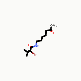 COC(=O)CCCCCNC(=O)C(Br)=C(C)C